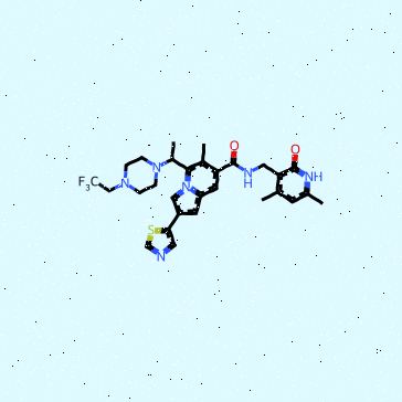 Cc1cc(C)c(CNC(=O)c2cc3cc(-c4cncs4)cn3c(C(C)N3CCN(CC(F)(F)F)CC3)c2C)c(=O)[nH]1